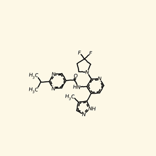 Cc1cn[nH]c1-c1ccnc(N2CCC(F)(F)C2)c1NC(=O)c1cnc(C(C)C)nc1